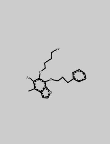 CC(=O)c1c(OCCCCBr)c(OCCCc2ccccc2)c2occc2c1C